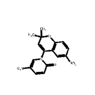 CC1(C)C=C(n2cc([N+](=O)[O-])ccc2=O)c2cc([N+](=O)[O-])ccc2O1